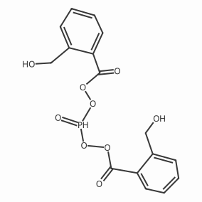 O=C(OO[PH](=O)OOC(=O)c1ccccc1CO)c1ccccc1CO